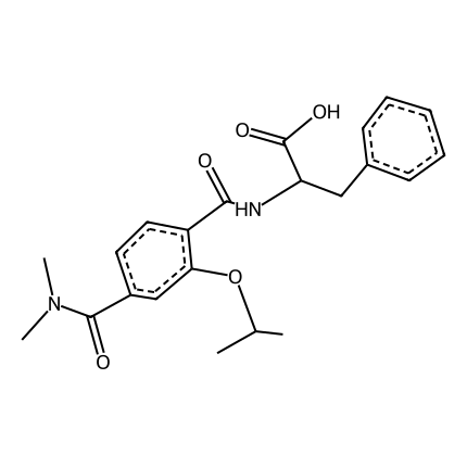 CC(C)Oc1cc(C(=O)N(C)C)ccc1C(=O)NC(Cc1ccccc1)C(=O)O